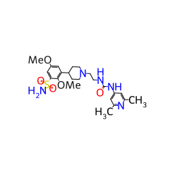 COc1cc(C2CCN(CCNC(=O)Nc3cc(C)nc(C)c3)CC2)c(OC)c(S(N)(=O)=O)c1